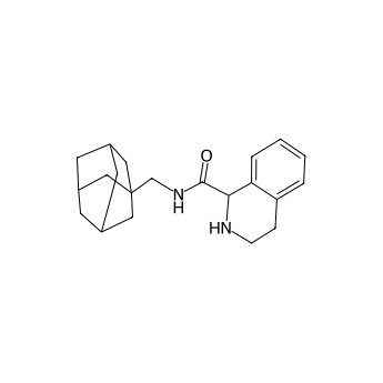 O=C(NCC12CC3CC(CC(C3)C1)C2)C1NCCc2ccccc21